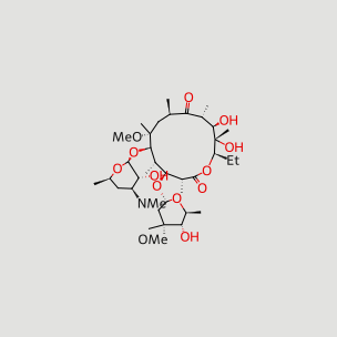 CC[C@H]1OC(=O)[C@H](C)[C@@H](O[C@H]2C[C@@](C)(OC)[C@@H](O)[C@H](C)O2)[C@H](C)[C@@H](O[C@@H]2O[C@H](C)C[C@H](NC)[C@H]2O)[C@](C)(OC)C[C@@H](C)C(=O)[C@H](C)[C@@H](O)[C@]1(C)O